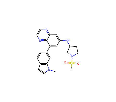 Cn1ccc2ccc(-c3cc(NC4CCN(S(C)(=O)=O)C4)cc4nccnc34)cc21